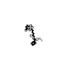 C=C(OCC(=O)CCCC(=O)ON1C(=O)CCC1=O)C1CC2C=CC1C2